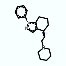 C(/CN1CCCCC1)=C1\CCCc2c1cnn2-c1ccccc1